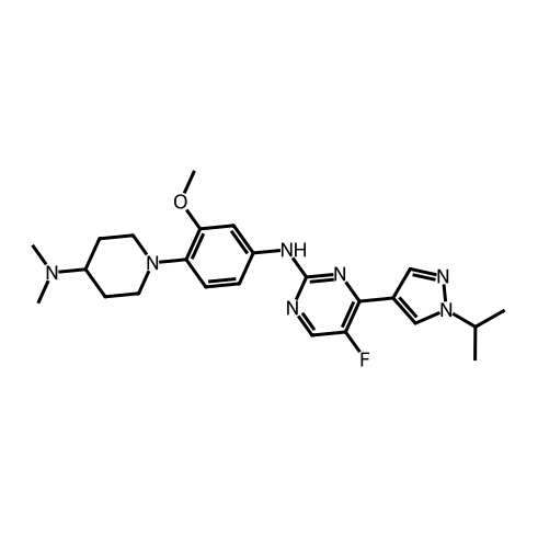 COc1cc(Nc2ncc(F)c(-c3cnn(C(C)C)c3)n2)ccc1N1CCC(N(C)C)CC1